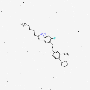 CCCCCc1cc2cc(CCc3ccc(C4CCCC4)c(C)c3)c(F)cc2[nH]1